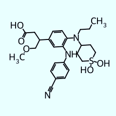 CCCN(c1ccc(C(COC)CC(=O)O)cc1Nc1ccc(C#N)cc1)C1CCS(O)(O)CC1